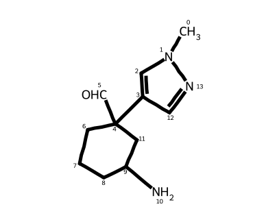 Cn1cc(C2(C=O)CCCC(N)C2)cn1